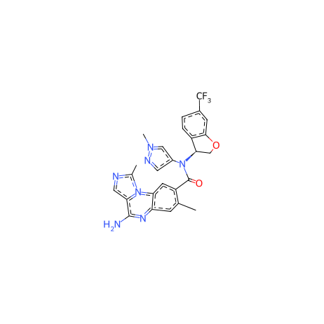 Cc1cc2nc(N)c3cnc(C)n3c2cc1C(=O)N(c1cnn(C)c1)[C@@H]1COc2cc(C(F)(F)F)ccc21